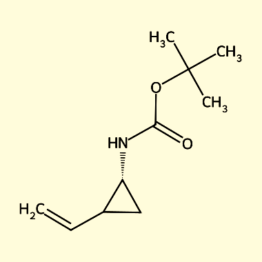 C=CC1C[C@H]1NC(=O)OC(C)(C)C